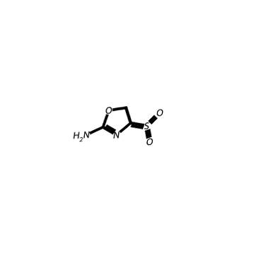 NC1=NC(=S(=O)=O)CO1